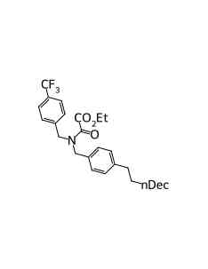 CCCCCCCCCCCCc1ccc(CN(Cc2ccc(C(F)(F)F)cc2)C(=O)C(=O)OCC)cc1